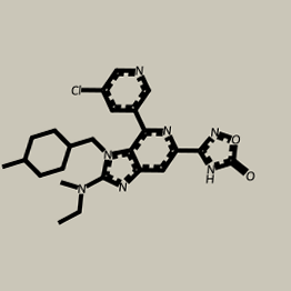 CCN(C)c1nc2cc(-c3noc(=O)[nH]3)nc(-c3cncc(Cl)c3)c2n1CC1CCC(C)CC1